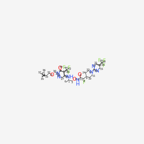 CC(CONC(=O)C(F)C1CCN(c2ncc(C(F)(F)F)cn2)CC1)Nc1cnn(COCC[Si](C)(C)C)c(=O)c1C(F)(F)F